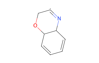 [C]1=NC2C=CC=CC2OC1